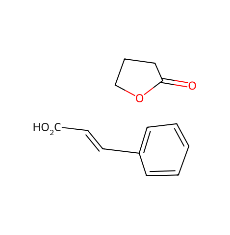 O=C(O)C=Cc1ccccc1.O=C1CCCO1